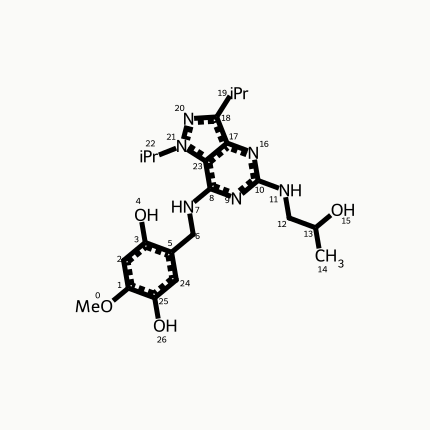 COc1cc(O)c(CNc2nc(NCC(C)O)nc3c(C(C)C)nn(C(C)C)c23)cc1O